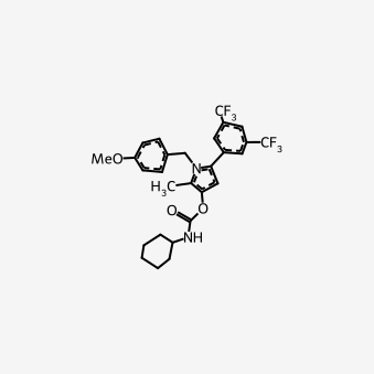 COc1ccc(Cn2c(-c3cc(C(F)(F)F)cc(C(F)(F)F)c3)cc(OC(=O)NC3CCCCC3)c2C)cc1